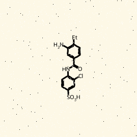 CCc1ccc(C(=O)Nc2ccc(S(=O)(=O)O)cc2Cl)cc1N